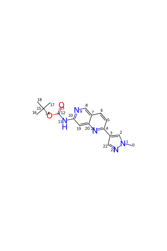 Cn1cc(-c2ccc3cnc(NC(=O)OC(C)(C)C)cc3n2)cn1